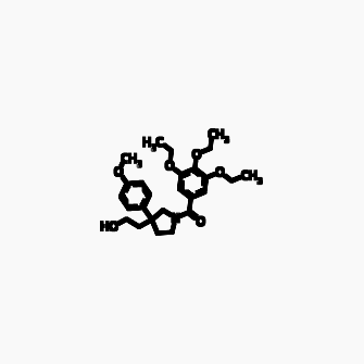 CCOc1cc(C(=O)N2CCC(CCO)(c3ccc(OC)cc3)C2)cc(OCC)c1OCC